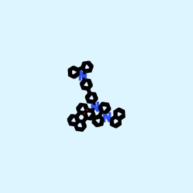 c1ccc(-c2cccc3cccc(-c4ccc(N(c5ccc(-c6ccc(-n7c8ccccc8c8ccccc87)cc6)cc5)c5cccc6c5c5ccccc5n6-c5cccc6ccccc56)cc4)c23)cc1